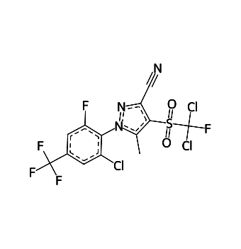 Cc1c(S(=O)(=O)C(F)(Cl)Cl)c(C#N)nn1-c1c(F)cc(C(F)(F)F)cc1Cl